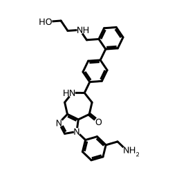 NCc1cccc(-n2cnc3c2C(=O)CC(c2ccc(-c4ccccc4CNCCO)cc2)NC3)c1